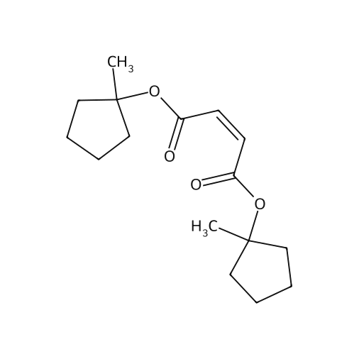 CC1(OC(=O)/C=C\C(=O)OC2(C)CCCC2)CCCC1